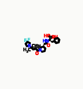 CC(C)(/C=C(\C#N)C(=O)N1CCC[C@@H](CC(=O)N[C@@H](Cc2ccccc2)B(O)O)C1)N1CCC(F)(F)C1